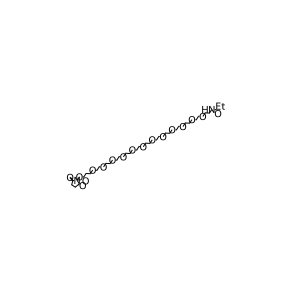 CCC(=O)NCCOCCOCCOCCOCCOCCOCCOCCOCCOCCOCCOCCOCCC(=O)ON1C(=O)CCC1=O